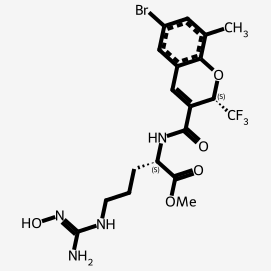 COC(=O)[C@H](CCCNC(N)=NO)NC(=O)C1=Cc2cc(Br)cc(C)c2O[C@@H]1C(F)(F)F